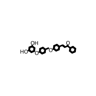 O=C(C=Cc1ccc(OCc2ccc(Oc3cc(O)cc(O)c3)cc2)cc1)c1ccccc1